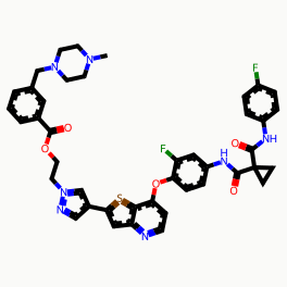 CN1CCN(Cc2cccc(C(=O)OCCn3cc(-c4cc5nccc(Oc6ccc(NC(=O)C7(C(=O)Nc8ccc(F)cc8)CC7)cc6F)c5s4)cn3)c2)CC1